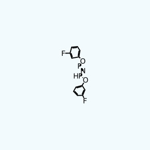 Fc1cccc(OP=NPOc2cccc(F)c2)c1